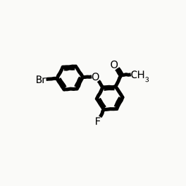 CC(=O)c1ccc(F)cc1Oc1ccc(Br)cc1